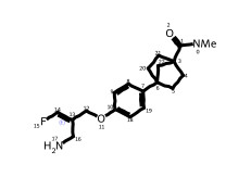 CNC(=O)C12CCC(c3ccc(OC/C(=C/F)CN)cc3)(CC1)C2